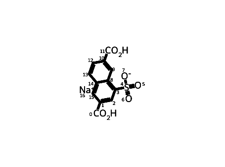 O=C(O)c1cc(S(=O)(=O)[O-])c2cc(C(=O)O)ccc2c1.[Na+]